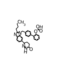 CCCCc1nc2ccc(C3=NNC(=O)CC3)cc2n1Cc1ccc(-c2ccccc2OC(=O)O)cc1